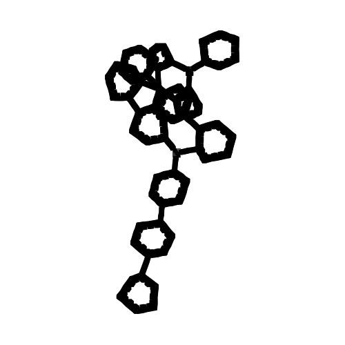 c1ccc(-c2ccc(-c3ccc(N(c4ccc5c(c4)C4(c6ccccc6-5)c5ccccc5N(c5ccccc5)c5ccccc54)c4ccccc4-c4ccc(-c5ccccc5)cc4)cc3)cc2)cc1